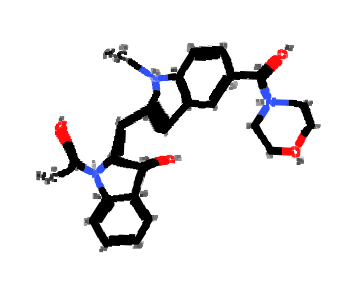 CC(=O)N1C(=Cc2cc3cc(C(=O)N4CCOCC4)ccc3n2C)C(=O)c2ccccc21